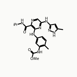 COC(=O)Nc1cc(Nc2nc(Nc3cc(C)[nH]n3)cnc2C(=O)NC(C)C)ccc1C